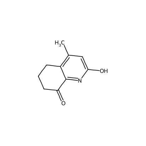 Cc1cc(O)nc2c1CCCC2=O